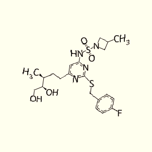 CC1CN(S(=O)(=O)Nc2cc(CC[C@H](C)[C@@H](O)CO)nc(SCc3ccc(F)cc3)n2)C1